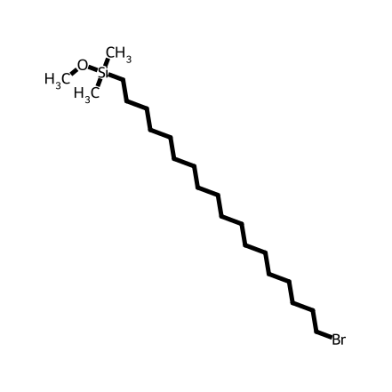 CO[Si](C)(C)CCCCCCCCCCCCCCCCCCBr